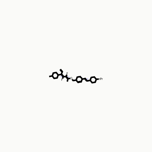 C=C/C(=C(F)\C(F)=C(/C)OCC1C=CC(/C=C/C2CCC(CCC)CC2)CC1)C1CCC(C)CC1